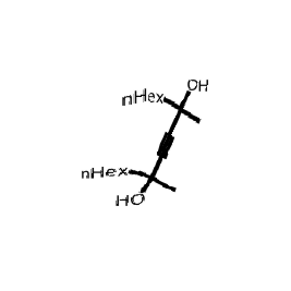 CCCCCCC(C)(O)C#CC(C)(O)CCCCCC